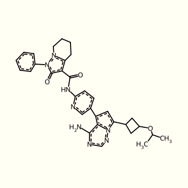 CC(C)OC1CC(c2cc(-c3ccc(NC(=O)c4c5n(n(-c6ccccc6)c4=O)CCCC5)nc3)c3c(N)ncnn23)C1